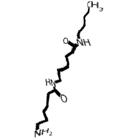 CCCCCNC(=O)CCCCCNC(=O)CCCCCN